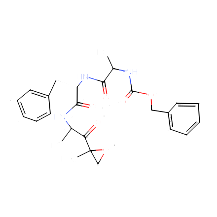 CC(NC(=O)OCc1ccccc1)C(=O)N[C@@H](Cc1ccccc1)C(=O)NC(C)C(=O)C1(C)CO1